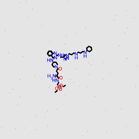 CCOP(=O)(CCNC(=O)[C@@H](N)CCC(=O)N1CCC(Nc2nc(NCc3cn(CCCNCCCNC4CCCCC4)nn3)nc3ccccc23)CC1)OCC